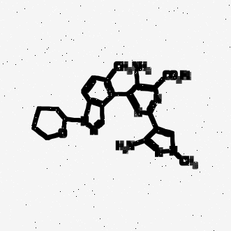 CCOC(=O)c1nc(-c2cn(C)nc2N)nc(-c2c(C)ccc3c2cnn3C2CCCCO2)c1N